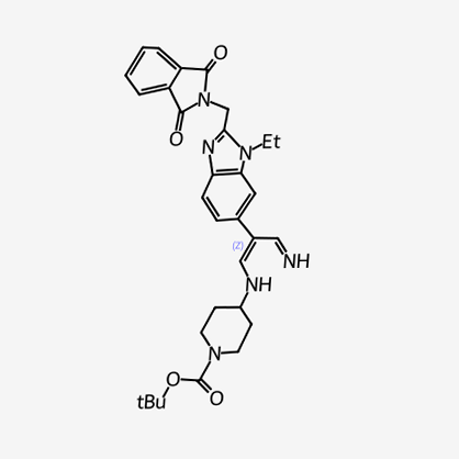 CCn1c(CN2C(=O)c3ccccc3C2=O)nc2ccc(/C(C=N)=C/NC3CCN(C(=O)OC(C)(C)C)CC3)cc21